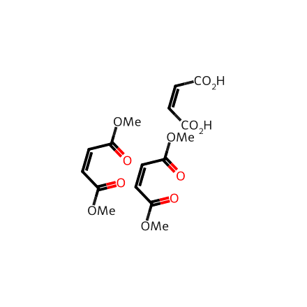 COC(=O)/C=C\C(=O)OC.COC(=O)/C=C\C(=O)OC.O=C(O)/C=C\C(=O)O